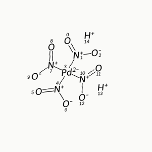 O=[N+]([O-])[Pd-2]([N+](=O)[O-])([N+](=O)[O-])[N+](=O)[O-].[H+].[H+]